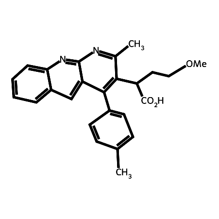 COCCC(C(=O)O)c1c(C)nc2nc3ccccc3cc2c1-c1ccc(C)cc1